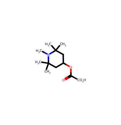 CN1C(C)(C)CC(OC(=O)C(=O)O)CC1(C)C